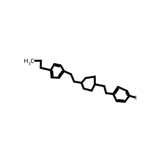 CCCc1ccc(CCC2CCC(CCc3ccc(I)cc3)CC2)cc1